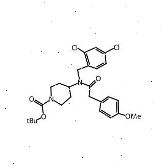 COc1ccc(CC(=O)N(Cc2ccc(Cl)cc2Cl)C2CCN(C(=O)OC(C)(C)C)CC2)cc1